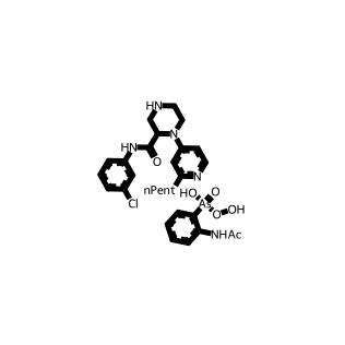 CC(=O)Nc1ccccc1[As](=O)(O)OO.CCCCCc1cc(N2CCNCC2C(=O)Nc2cccc(Cl)c2)ccn1